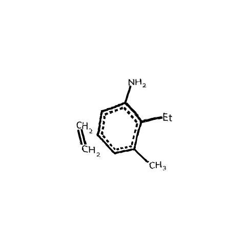 C=C.CCc1c(C)cccc1N